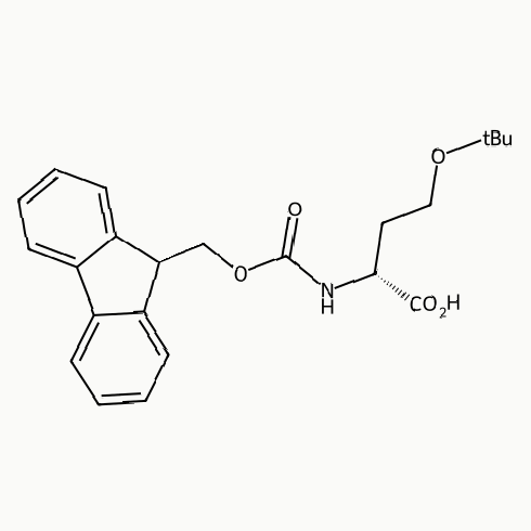 CC(C)(C)OCC[C@@H](NC(=O)OCC1c2ccccc2-c2ccccc21)C(=O)O